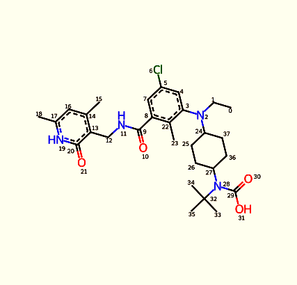 CCN(c1cc(Cl)cc(C(=O)NCc2c(C)cc(C)[nH]c2=O)c1C)C1CCC(N(C(=O)O)C(C)(C)C)CC1